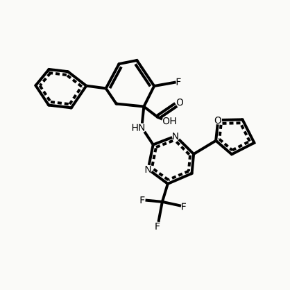 O=C(O)C1(Nc2nc(-c3ccco3)cc(C(F)(F)F)n2)CC(c2ccccc2)=CC=C1F